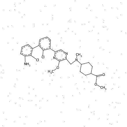 COC(=O)C1CCC(N(C)Cc2ncc(-c3cccc(-c4cccc(N)c4Cl)c3Cl)nc2OC)CC1